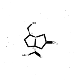 C=C1CN2[C@H](CO)CC[C@]2(C(=O)OC)C1